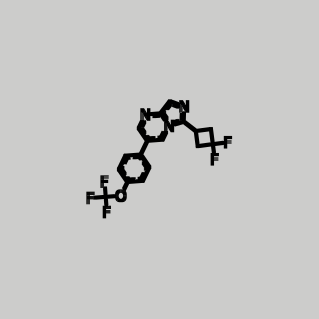 FC1(F)CC(c2ncc3ncc(-c4ccc(OC(F)(F)F)cc4)cn23)C1